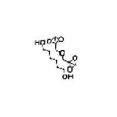 C(OCC12OC1O2)C12OC1O2.OCCCCCCO